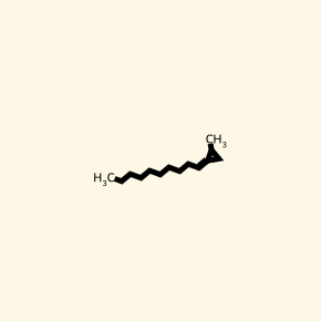 CCCCCCCCCC=C1CC1C